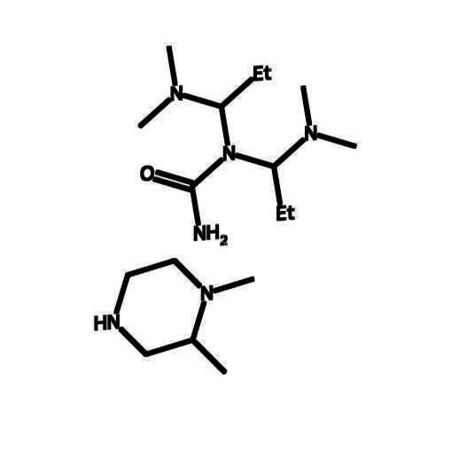 CC1CNCCN1C.CCC(N(C)C)N(C(N)=O)C(CC)N(C)C